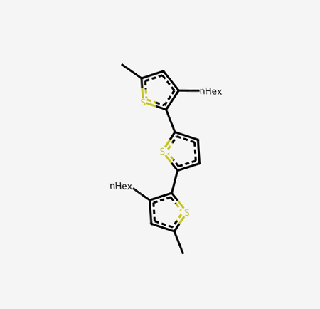 CCCCCCc1cc(C)sc1-c1ccc(-c2sc(C)cc2CCCCCC)s1